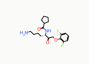 NCCCC[C@H](NC(=O)C1CCCC1)C(=O)COc1c(F)cccc1F